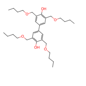 CCCCOCc1cc(-c2cc(COCCCC)c(O)c(COCCCC)c2)cc(COCCCC)c1O